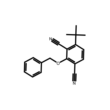 CC(C)(C)c1ccc(C#N)c(OCc2ccccc2)c1C#N